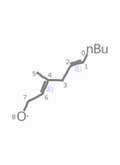 CCCC/C=C/C/C(C)=C/C[O]